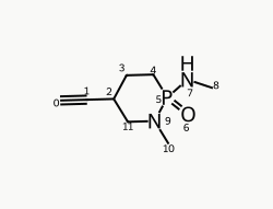 C#CC1CCP(=O)(NC)N(C)C1